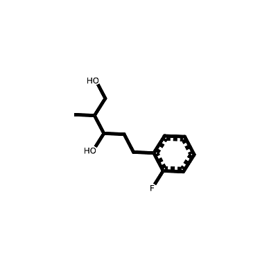 CC(CO)C(O)CCc1ccccc1F